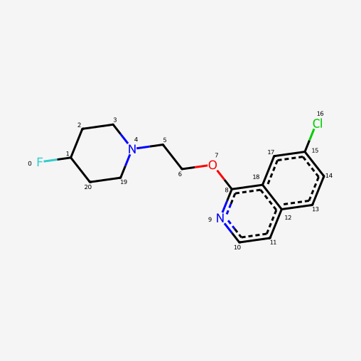 FC1CCN(CCOc2nccc3ccc(Cl)cc23)CC1